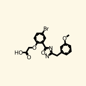 COc1cccc(Cc2noc(-c3cc(Br)ccc3OCC(=O)O)n2)c1